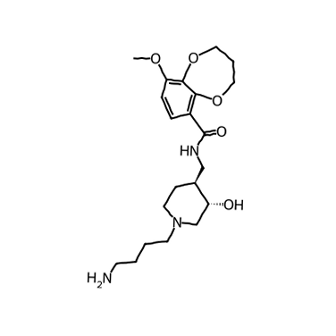 COc1ccc(C(=O)NC[C@@H]2CCN(CCCCN)C[C@H]2O)c2c1OCCCO2